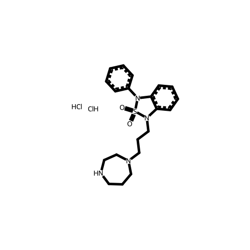 Cl.Cl.O=S1(=O)N(CCCN2CCCNCC2)c2ccccc2N1c1ccccc1